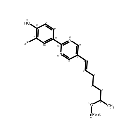 CCCCCOC(C)CCCC=Cc1cnc(-c2ccc(O)c(F)c2)nc1